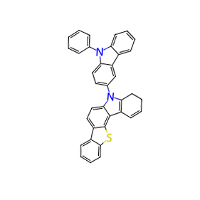 C1=Cc2c(n(-c3ccc4c(c3)c3ccccc3n4-c3ccccc3)c3ccc4c5ccccc5sc4c23)CC1